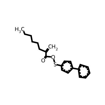 C=C(CCCCCC)C(=O)OSc1ccc(-c2ccccc2)cc1